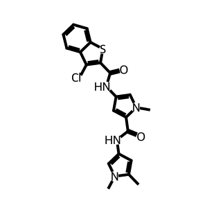 Cc1cc(NC(=O)c2cc(NC(=O)c3sc4ccccc4c3Cl)cn2C)cn1C